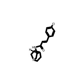 O=C(C=Cc1ccc(Cl)cc1)N[C@H]1CN2CCC1CC2